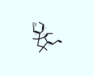 C=C/C=C1\C(=C/C)C(C)(C(/C=C\C)=C/CC)CC1(C)C